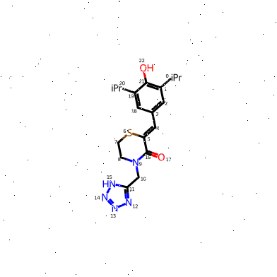 CC(C)c1cc(C=C2SCCN(Cc3nnn[nH]3)C2=O)cc(C(C)C)c1O